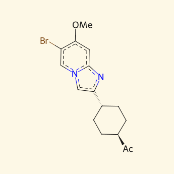 COc1cc2nc([C@H]3CC[C@H](C(C)=O)CC3)cn2cc1Br